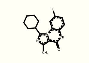 Cc1nc(C2CCCCC2)n2c1c(=O)[nH]c1ccc(F)cc12